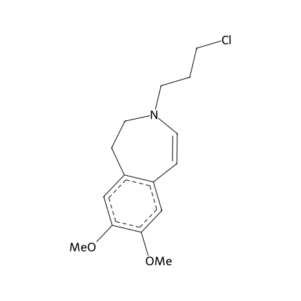 COc1cc2c(cc1OC)CCN(CCCCl)C=C2